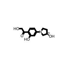 O=C(CO)c1ccc(N2CC[C@@H](O)C2)cc1O